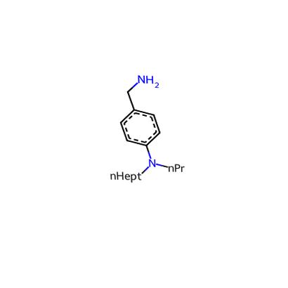 CCCCCCCN(CCC)c1ccc(CN)cc1